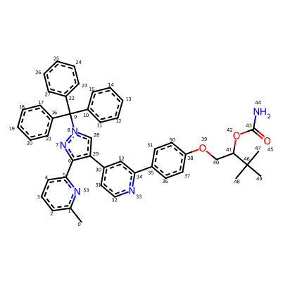 Cc1cccc(-c2nn(C(c3ccccc3)(c3ccccc3)c3ccccc3)cc2-c2ccnc(-c3ccc(OCC(OC(N)=O)C(C)(C)C)cc3)c2)n1